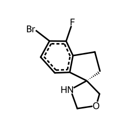 Fc1c(Br)ccc2c1CC[C@@]21COCN1